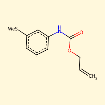 C=CCOC(=O)Nc1c[c]cc(SC)c1